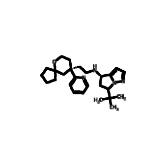 CC(C)(C)C1C[C@@H](NCC[C@@]2(c3ccccn3)CCOC3(CCCC3)C2)c2ccnn21